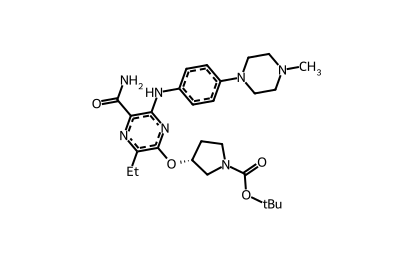 CCc1nc(C(N)=O)c(Nc2ccc(N3CCN(C)CC3)cc2)nc1O[C@@H]1CCN(C(=O)OC(C)(C)C)C1